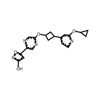 Oc1cc(-c2cnc(OC3CC(c4ccnc(OC5CC5)c4)C3)cn2)on1